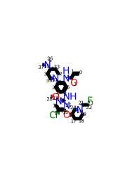 C=CC(=O)Nc1cc(Nc2ncc(Cl)c(OC3CCCN(CCF)C3)n2)c(OC)cc1N1CCC(N(C)C)CC1